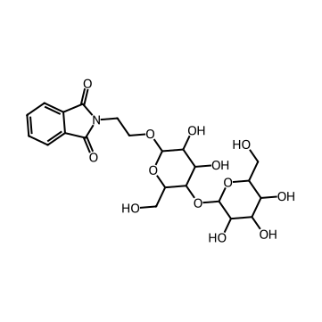 O=C1c2ccccc2C(=O)N1CCOC1OC(CO)C(OC2OC(CO)C(O)C(O)C2O)C(O)C1O